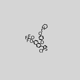 O=C(Oc1ccc2c(Oc3ccc(OCCN4CCCCC4)cc3)c(-c3ccsc3Cl)ccc2c1)C(F)(F)F